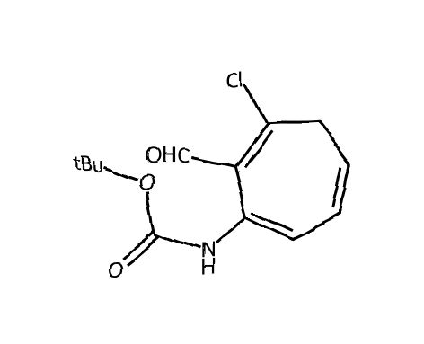 CC(C)(C)OC(=O)NC1=CC=CCC(Cl)=C1C=O